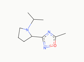 Cc1nc(C2CCCN2C(C)C)no1